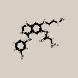 CCOCCOc1cc2ncnc(Nc3cccc(Br)c3)c2cc1NC(=O)COC